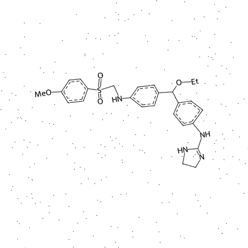 CCOC(c1ccc(NCS(=O)(=O)c2ccc(OC)cc2)cc1)c1ccc(NC2=NCCN2)cc1